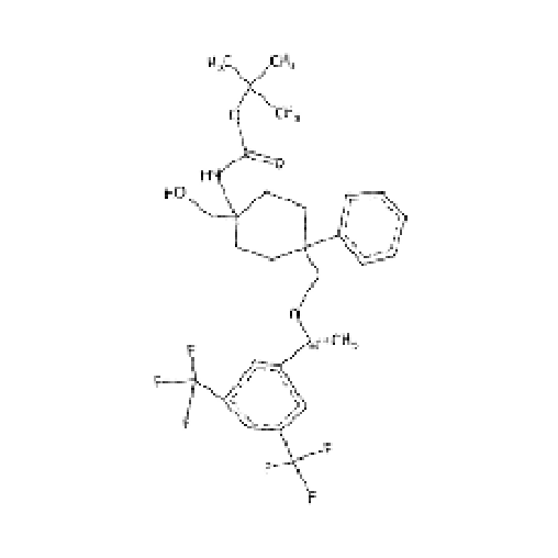 C[C@@H](OCC1(c2ccccc2)CCC(CO)(NC(=O)OC(C)(C)C)CC1)c1cc(C(F)(F)F)cc(C(F)(F)F)c1